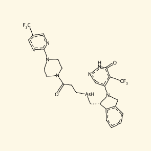 O=C(CC[AsH]C[C@H]1c2ccccc2CN1c1cn[nH]c(=O)c1C(F)(F)F)N1CCN(c2ncc(C(F)(F)F)cn2)CC1